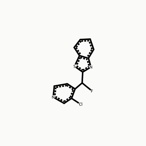 FC(c1nc2ccccc2s1)c1ccncc1Cl